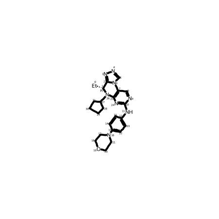 CC[C@@H]1c2nncn2-c2cnc(Nc3ccc(N4CCOCC4)cc3)nc2N1C1CCCC1